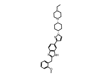 CCN1CCN([C@H]2CC[C@@H](n3ccc(-c4ccc5nc(Cc6ccccc6OC)[nH]c5c4)n3)CC2)CC1